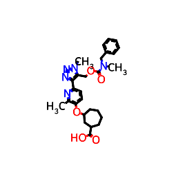 Cc1nc(-c2nnn(C)c2COC(=O)N(C)Cc2ccccc2)ccc1OC1CCCCC(C(=O)O)C1